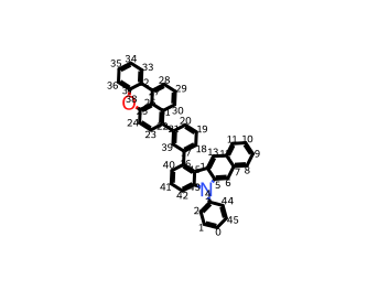 c1ccc(-n2c3cc4ccccc4cc3c3c(-c4cccc(-c5ccc6c7c(cccc57)-c5ccccc5O6)c4)cccc32)cc1